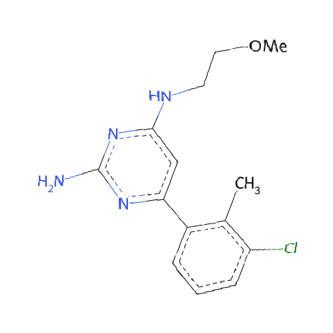 COCCNc1cc(-c2cccc(Cl)c2C)nc(N)n1